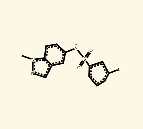 Cn1ncc2cc(NS(=O)(=O)c3cccc(Cl)c3)ccc21